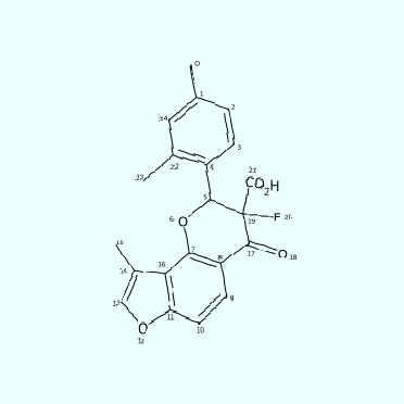 Cc1ccc(C2Oc3c(ccc4occ(C)c34)C(=O)C2(F)C(=O)O)c(C)c1